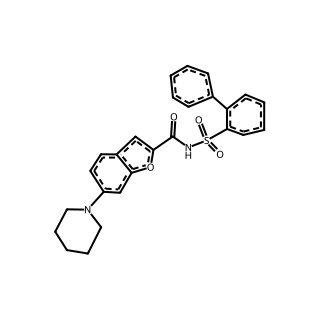 O=C(NS(=O)(=O)c1ccccc1-c1ccccc1)c1cc2ccc(N3CCCCC3)cc2o1